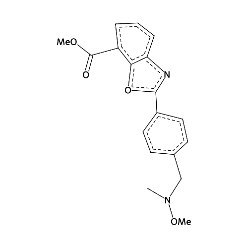 COC(=O)c1cccc2nc(-c3ccc(CN(C)OC)cc3)oc12